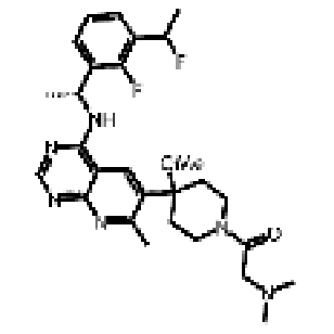 COC1(c2cc3c(N[C@H](C)c4cccc(C(C)F)c4F)ncnc3nc2C)CCN(C(=O)CN(C)C)CC1